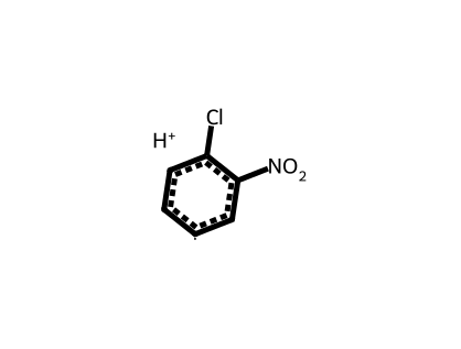 O=[N+]([O-])c1c[c]ccc1Cl.[H+]